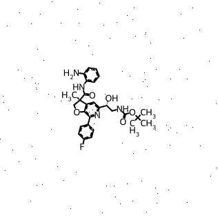 CC(C)(C)OC(=O)NC[C@@H](O)c1cc2c(c(-c3ccc(F)cc3)n1)OC[C@]2(C)C(=O)Nc1ccccc1N